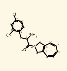 NC(Cc1ccc(Cl)cc1Cl)C(=O)N1CC2=C(C=CC=C=C2)C1